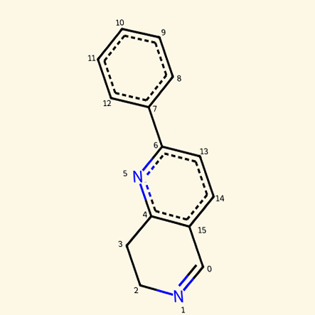 C1=NCCc2nc(-c3ccccc3)ccc21